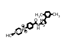 C#CN1CCN(S(=O)(=O)c2ccc(C(=O)Nc3nc(-c4cc(C)ccc4C)cs3)cc2)CC1